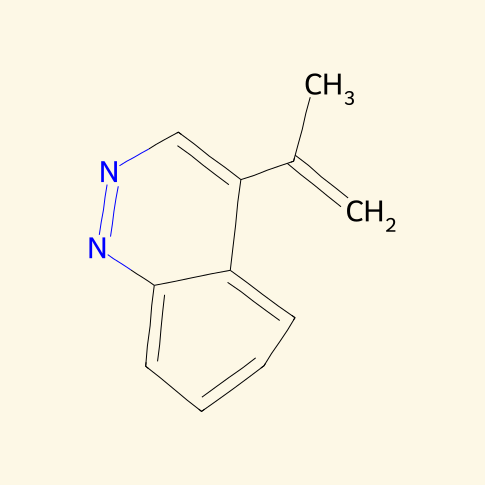 C=C(C)c1cnnc2ccccc12